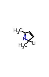 [Li][C]1(C)C=CC(C)=N1